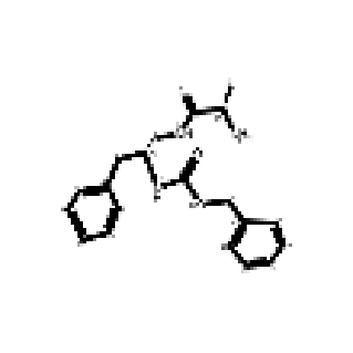 C[C@@H](N)C(=O)NC[C@@H](Cc1ccccc1)NC(=O)OCc1ccccc1